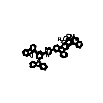 CC1(C)c2cc3c4ccc(-c5cnc(-c6cc(-c7cccc8c7oc7ccccc78)cc(-n7c8ccccc8c8ccccc87)c6)nc5)cc4c4ccccc4c3cc2-c2c1ccc1ccccc21